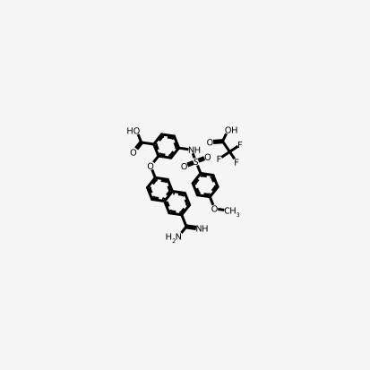 COc1ccc(S(=O)(=O)Nc2ccc(C(=O)O)c(Oc3ccc4cc(C(=N)N)ccc4c3)c2)cc1.O=C(O)C(F)(F)F